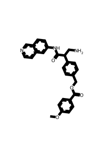 COc1ccc(C(=O)OCc2ccc(C(CN)C(=O)Nc3ccc4cnccc4c3)cc2)cc1